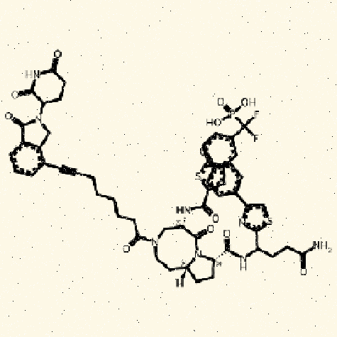 NC(=O)CCC(NC(=O)[C@@H]1CC[C@@H]2CCN(C(=O)CCCCCC#Cc3cccc4c3CN(C3CCC(=O)NC3=O)C4=O)C[C@H](NC(=O)c3cc4cc(C(F)(F)P(=O)(O)O)ccc4s3)C(=O)N21)c1nc(-c2ccc(Cl)cc2)cs1